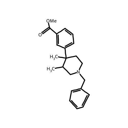 COC(=O)c1cccc(C2(C)CCN(Cc3ccccc3)CC2C)c1